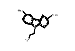 CCCCCCc1ccc2c(c1)c1cc(CCCCCC)ccc1n2CCN